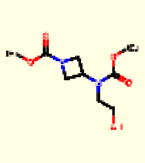 CC(C)(C)OC(=O)N1CC(N(CCO)C(=O)OC(C)(C)C)C1